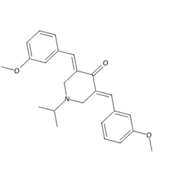 COc1cccc(C=C2CN(C(C)C)CC(=Cc3cccc(OC)c3)C2=O)c1